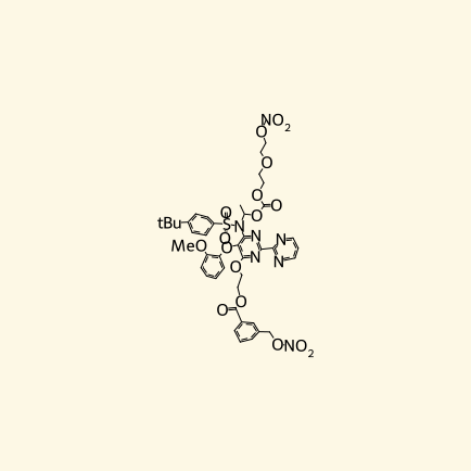 COc1ccccc1Oc1c(OCCOC(=O)c2cccc(CO[N+](=O)[O-])c2)nc(-c2ncccn2)nc1N(C(C)OC(=O)OCCOCCO[N+](=O)[O-])S(=O)(=O)c1ccc(C(C)(C)C)cc1